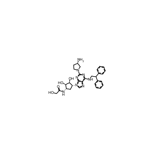 N[C@@H]1CCN(c2nc(NCC(c3ccccc3)c3ccccc3)c3ncn([C@@H]4C[C@H](NC(=O)CO)[C@@H](O)[C@H]4O)c3n2)C1